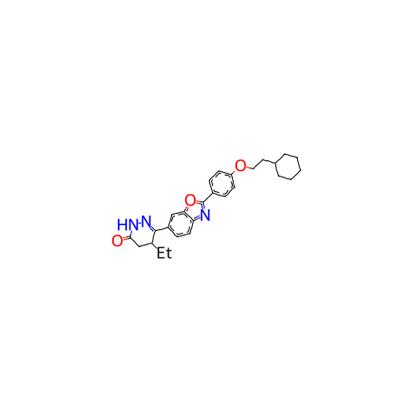 CCC1CC(=O)NN=C1c1ccc2nc(-c3ccc(OCCC4CCCCC4)cc3)oc2c1